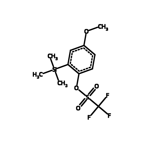 COc1ccc(OS(=O)(=O)C(F)(F)F)c([Si](C)(C)C)c1